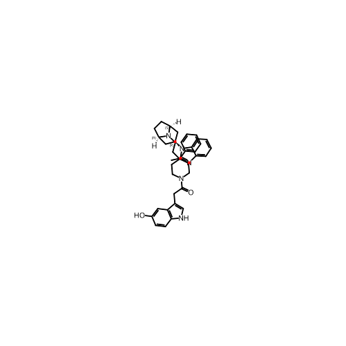 Cc1nc2ccccc2n1[C@H]1C[C@H]2CC[C@@H](C1)N2CCC1(c2ccccc2)CCN(C(=O)Cc2c[nH]c3ccc(O)cc23)CC1